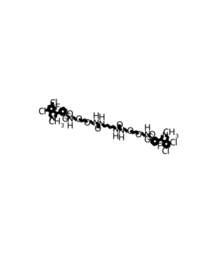 CN1Cc2c(Cl)cc(Cl)cc2C(c2cc(S(=O)(=O)NCCOCCOCCNC(=O)NCCCCNC(=O)NCCOCCOCCNS(=O)(=O)c3ccc(F)c(C4CN(C)Cc5c(Cl)cc(Cl)cc54)c3)ccc2F)C1